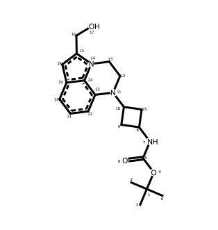 CC(C)(C)OC(=O)NC1CC(N2CCn3c(CO)cc4cccc2c43)C1